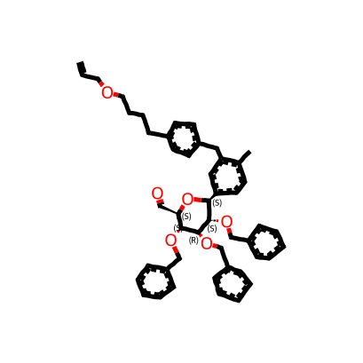 C=CCOCCCCc1ccc(Cc2cc([C@@H]3O[C@H](C=O)[C@@H](OCc4ccccc4)[C@H](OCc4ccccc4)[C@H]3OCc3ccccc3)ccc2C)cc1